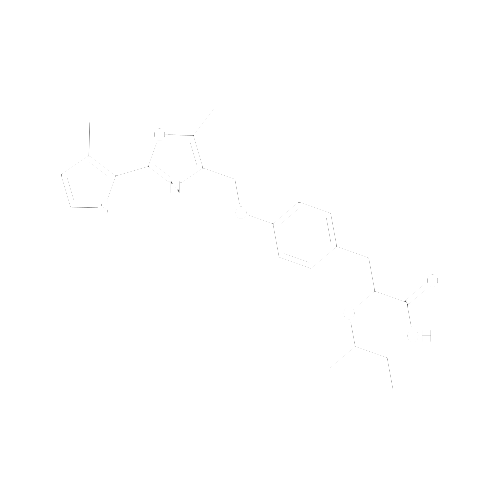 CCC(C)OC(Cc1ccc(OCc2nc(-c3sccc3C)oc2C)cc1)C(=O)O